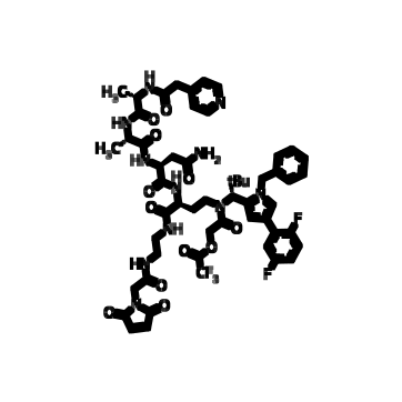 C[C@H](NC(=O)Cc1ccncc1)C(=O)N[C@@H](C)C(=O)N[C@@H](CC(N)=O)C(=O)N[C@@H](CCN(C(=O)COC(=O)C(F)(F)F)[C@@H](c1cc(-c2cc(F)ccc2F)cn1Cc1ccccc1)C(C)(C)C)C(=O)NCCNC(=O)CN1C(=O)C=CC1=O